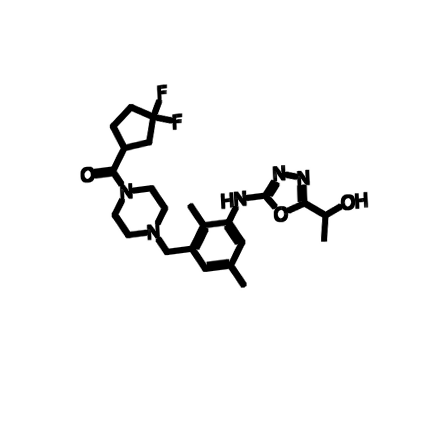 Cc1cc(CN2CCN(C(=O)C3CCC(F)(F)C3)CC2)c(C)c(Nc2nnc(C(C)O)o2)c1